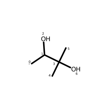 [CH2]C(O)C(C)(C)O